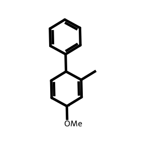 CO[C]1C=CC(c2ccccc2)C(C)=C1